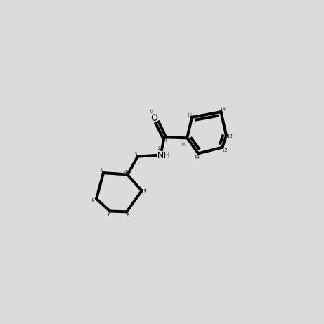 O=C(NCC1CCCCC1)c1cc[c]cc1